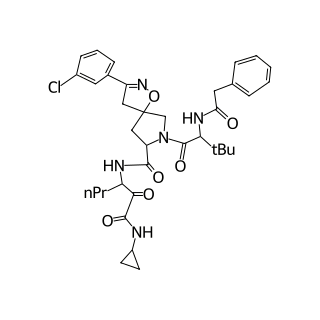 CCCC(NC(=O)C1CC2(CC(c3cccc(Cl)c3)=NO2)CN1C(=O)C(NC(=O)Cc1ccccc1)C(C)(C)C)C(=O)C(=O)NC1CC1